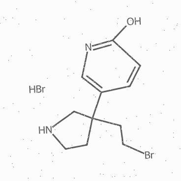 Br.Oc1ccc(C2(CCBr)CCNC2)cn1